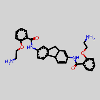 NCCOc1ccccc1C(=O)NC1=CC2Cc3cc(NC(=O)c4ccccc4OCCN)ccc3C2C=C1